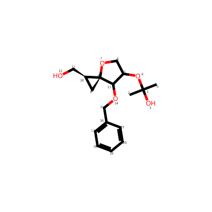 CC(C)(O)OC1CO[C@]2(C[C@H]2CO)C1OCc1ccccc1